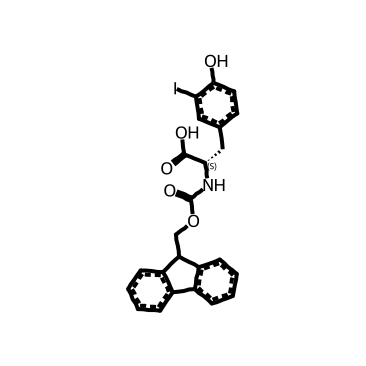 O=C(N[C@@H](Cc1ccc(O)c(I)c1)C(=O)O)OCC1c2ccccc2-c2ccccc21